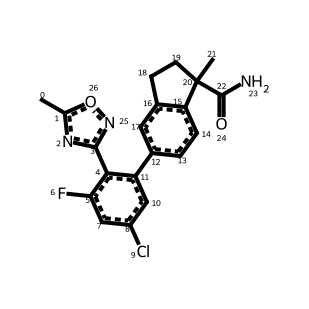 Cc1nc(-c2c(F)cc(Cl)cc2-c2ccc3c(c2)CCC3(C)C(N)=O)no1